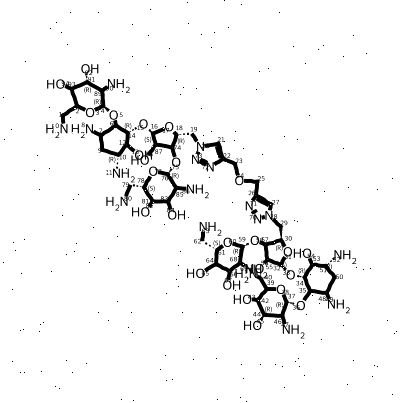 NCC1O[C@H](OC2C(N)C[C@@H](N)C(O)[C@H]2O[C@@H]2O[C@H](Cn3cc(COCc4cn(C[C@H]5O[C@@H](O[C@H]6C(O[C@H]7OC(CN)C(O)[C@H](O)C7N)C(N)C[C@@H](N)C6O)C(O)C5O[C@H]5O[C@@H](CN)C(O)C(O)C5N)nn4)nn3)C(O[C@H]3O[C@@H](CN)C(O)C(O)C3N)C2O)C(N)[C@@H](O)C1O